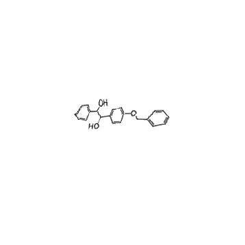 OC(c1ccccc1)C(O)c1ccc(OCc2ccccc2)cc1